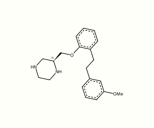 COc1cccc(CCc2ccccc2OC[C@@H]2CNCCN2)c1